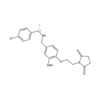 COc1cc(CN[C@@H](C)c2ccc(Cl)cc2)ccc1OCCN1C(=O)CCC1=O